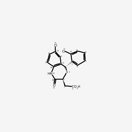 O=C(O)C[C@@H]1S[C@@H](c2ccccc2Cl)c2cc(Cl)ccc2NC1=O